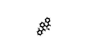 C=N/C(=C(\C)c1ccccc1)c1ccccc1C(=C)c1ccccc1C